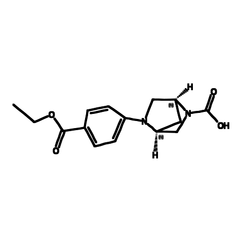 CCOC(=O)c1ccc(N2C[C@@H]3C[C@H]2CN3C(=O)O)cc1